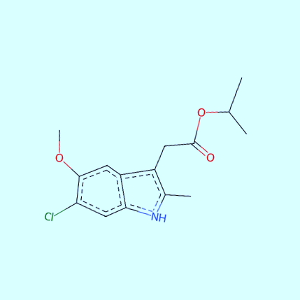 COc1cc2c(CC(=O)OC(C)C)c(C)[nH]c2cc1Cl